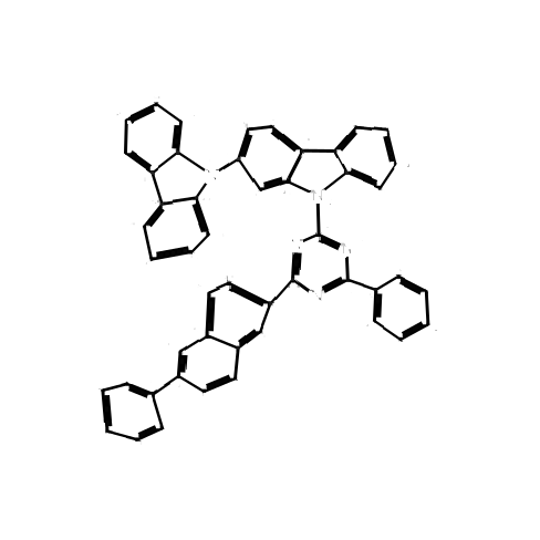 c1ccc(-c2ccc3cc(-c4nc(-c5ccccc5)nc(-n5c6ccccc6c6ccc(-n7c8ccccc8c8ccccc87)cc65)n4)ccc3c2)cc1